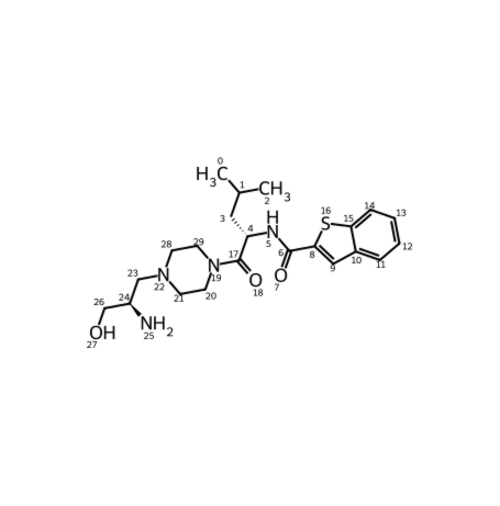 CC(C)C[C@H](NC(=O)c1cc2ccccc2s1)C(=O)N1CCN(C[C@@H](N)CO)CC1